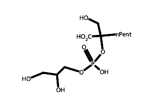 CCCCCC(CO)(OP(=O)(O)OCC(O)CO)C(=O)O